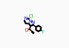 C#CC(=O)c1c(-c2ccc(F)cc2)nn2c(Cl)nccc12